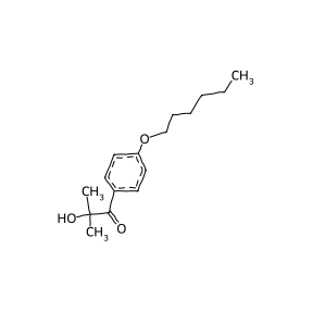 CCCCCCOc1ccc(C(=O)C(C)(C)O)cc1